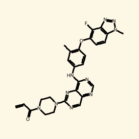 C=CC(=O)N1CCN(c2ncc3ncnc(Nc4ccc(Oc5ccc6c(nnn6C)c5F)c(C)c4)c3n2)CC1